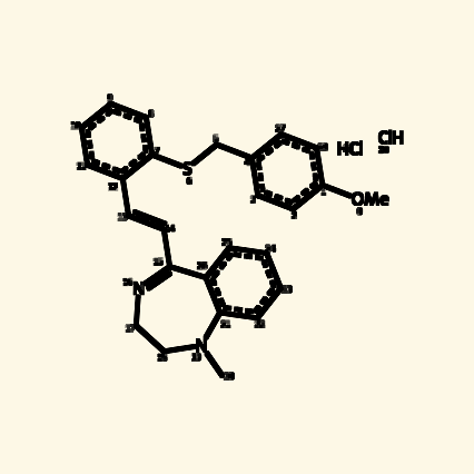 COc1ccc(CSc2ccccc2/C=C/C2=NCCN(C)c3ccccc32)cc1.Cl.Cl